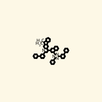 CC1(C)c2ccccc2-c2cc3c(-c4cc(-c5nc(-c6ccccc6)nc(-c6cccc(-c7ccccc7)c6)n5)c5ccccc5c4)cc(-c4cccc(-c5ccccc5)c4)nc3cc21